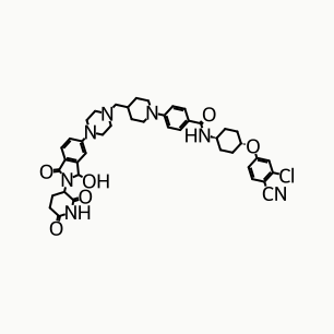 N#Cc1ccc(O[C@H]2CC[C@H](NC(=O)c3ccc(N4CCC(CN5CCN(c6ccc7c(c6)C(O)N(C6CCC(=O)NC6=O)C7=O)CC5)CC4)cc3)CC2)cc1Cl